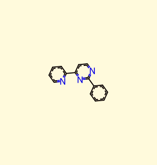 c1ccc(-c2nccc(-c3ccccn3)n2)cc1